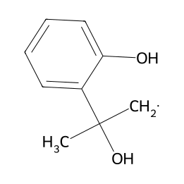 [CH2]C(C)(O)c1ccccc1O